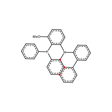 COc1cccc(N2Cc3ccccc3-c3ccccc32)c1P(c1ccccc1)c1ccccc1